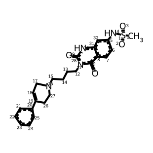 CS(=O)(=O)Nc1ccc2c(=O)n(CCCCN3CC=C(c4ccccc4)CC3)c(=O)[nH]c2c1